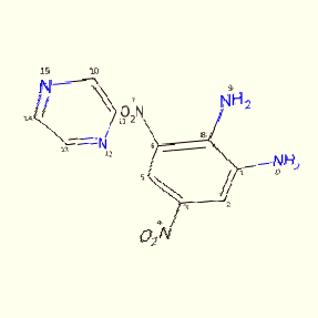 Nc1cc([N+](=O)[O-])cc([N+](=O)[O-])c1N.c1cnccn1